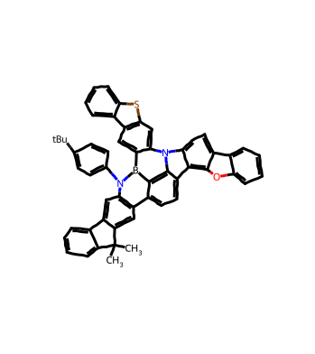 CC(C)(C)c1ccc(N2B3c4cc5c(cc4-n4c6ccc7c8ccccc8oc7c6c6ccc(c3c64)-c3cc4c(cc32)-c2ccccc2C4(C)C)sc2ccccc25)cc1